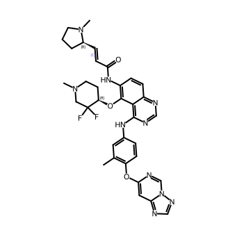 Cc1cc(Nc2ncnc3ccc(NC(=O)/C=C/[C@H]4CCCN4C)c(O[C@@H]4CCN(C)CC4(F)F)c23)ccc1Oc1cc2ncnn2cn1